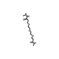 CC(C)NCCOCCOCCOCCC(=O)NC(C)C